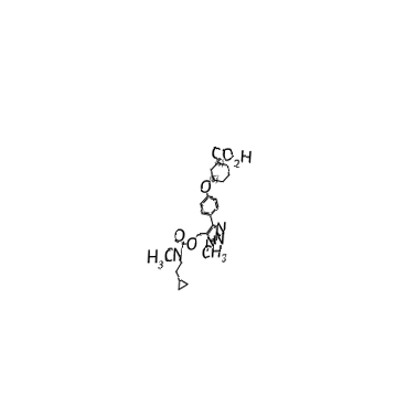 CN(CCC1CC1)C(=O)OCc1c(-c2ccc(O[C@H]3CCC[C@H](C(=O)O)C3)cc2)nnn1C